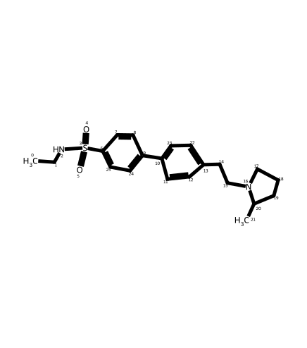 CCNS(=O)(=O)c1ccc(-c2ccc(CCN3CCCC3C)cc2)cc1